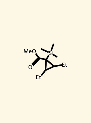 CCC1C(CC)C1(C(=O)OC)[Si](C)(C)C